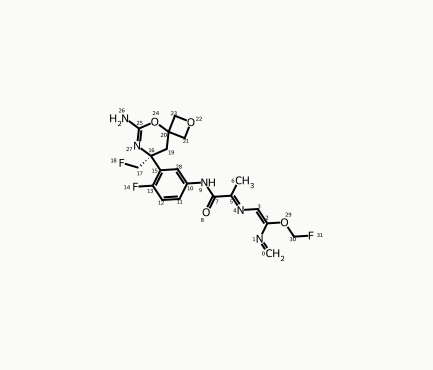 C=N/C(=C\N=C(/C)C(=O)Nc1ccc(F)c([C@]2(CF)CC3(COC3)OC(N)=N2)c1)OCF